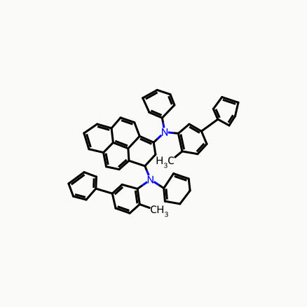 Cc1ccc(-c2ccccc2)cc1N(C1=c2ccc3cccc4ccc(c2c43)C(N(C2=CCCC=C2)c2cc(-c3ccccc3)ccc2C)C1)c1ccccc1